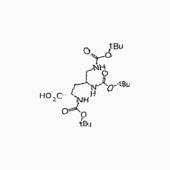 CC(C)(C)OC(=O)NCC(C[C@H](NC(=O)OC(C)(C)C)C(=O)O)NC(=O)OC(C)(C)C